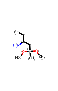 CCC(N)C[Si](C)(OC)OC